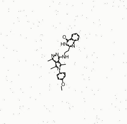 CCOc1ccc(-n2c(C)c3c(C)nnc(NCCc4nc5ccccc5c(=O)[nH]4)c3c2C)cc1